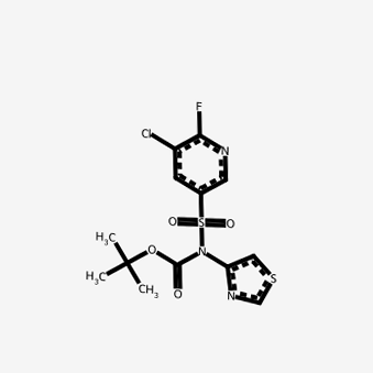 CC(C)(C)OC(=O)N(c1cscn1)S(=O)(=O)c1cnc(F)c(Cl)c1